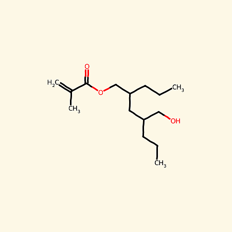 C=C(C)C(=O)OCC(CCC)CC(CO)CCC